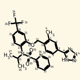 Cc1cc(-c2nnn[nH]2)ccc1COc1cc(C(F)(F)F)ccc1N(C(C)C)S(=O)(=O)c1ccccn1